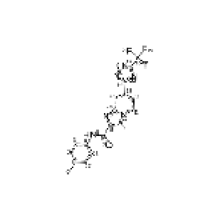 Cc1ccc(NC(=O)c2cn3ccc(-c4noc(C(F)(F)F)n4)cc3n2)cc1